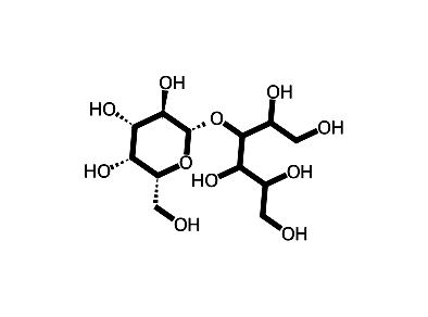 OCC(O)C(O)C(O[C@@H]1O[C@H](CO)[C@H](O)[C@H](O)[C@H]1O)C(O)CO